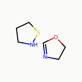 C1=NCCO1.C1CNSC1